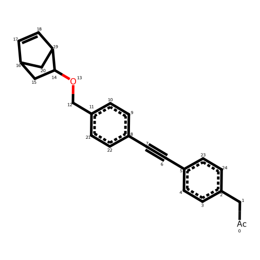 CC(=O)Cc1ccc(C#Cc2ccc(COC3CC4C=CC3C4)cc2)cc1